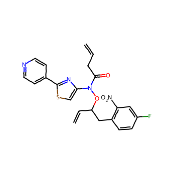 C=CCC(=O)N(OC(C=C)Cc1ccc(F)cc1[N+](=O)[O-])c1csc(-c2ccncc2)n1